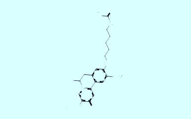 COc1cc2c(cc1OCCCCCNC(=O)OC(C)(C)C)CC(C(C)(C)C)n1cc(C(=O)O)c(=O)cc1-2